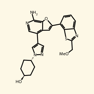 COCc1nc2cccc(-c3cc4c(-c5cnn([C@H]6CC[C@H](O)CC6)c5)cnc(N)c4o3)c2s1